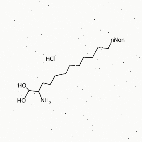 CCCCCCCCCCCCCCCCCCCC(N)C(O)O.Cl